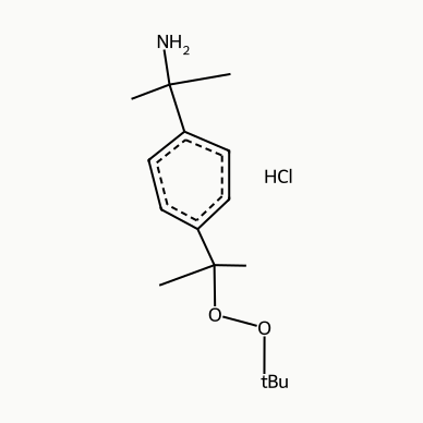 CC(C)(C)OOC(C)(C)c1ccc(C(C)(C)N)cc1.Cl